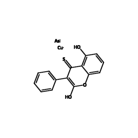 Oc1oc2cccc(O)c2c(=S)c1-c1ccccc1.[As].[Cu]